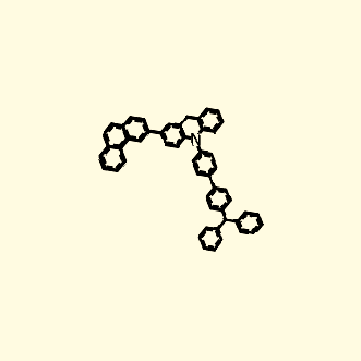 c1ccc(C(c2ccccc2)c2ccc(-c3ccc(N4c5ccccc5Cc5cc(-c6ccc7ccc8ccccc8c7c6)ccc54)cc3)cc2)cc1